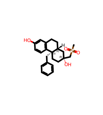 CS(=O)(=O)C[C@@]1(O)CC[C@@]2(Cc3ccccc3)c3ccc(O)cc3CC[C@@H]2C1